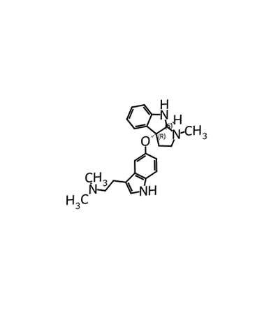 CN(C)CCc1c[nH]c2ccc(O[C@@]34CCN(C)[C@@H]3Nc3ccccc34)cc12